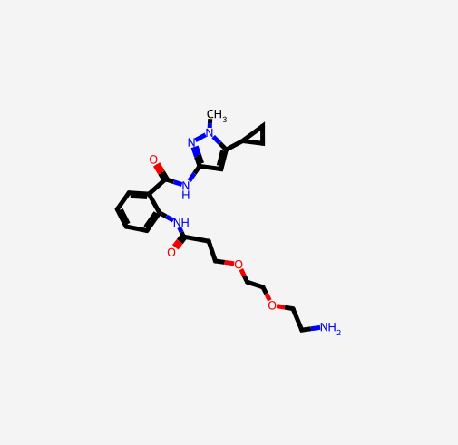 Cn1nc(NC(=O)c2ccccc2NC(=O)CCOCCOCCN)cc1C1CC1